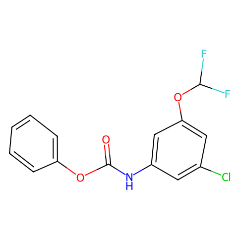 O=C(Nc1cc(Cl)cc(OC(F)F)c1)Oc1ccccc1